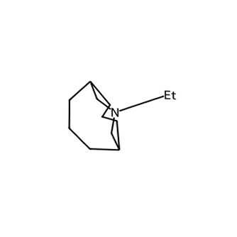 CCN1CC2CCCC(CCC2)C1